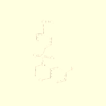 O=Cc1ccc(S(=O)(=O)N2CCOc3ccc(F)cc32)cc1